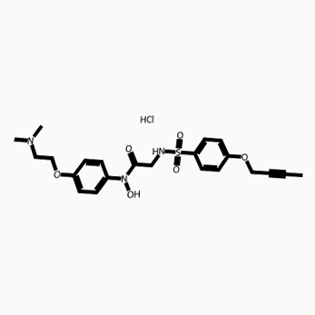 CC#CCOc1ccc(S(=O)(=O)NCC(=O)N(O)c2ccc(OCCN(C)C)cc2)cc1.Cl